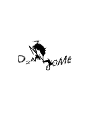 COC(=O)CCn1ccnc1[N+](=O)[O-]